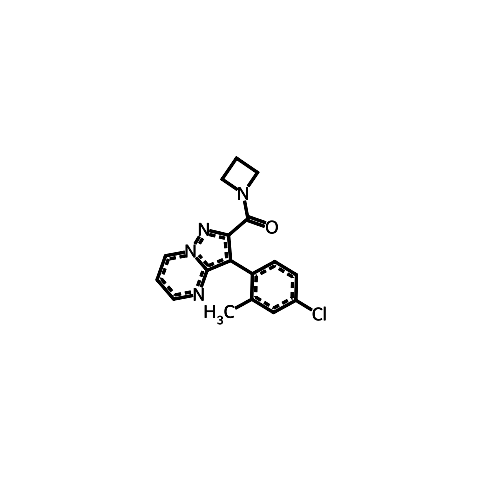 Cc1cc(Cl)ccc1-c1c(C(=O)N2CCC2)nn2cccnc12